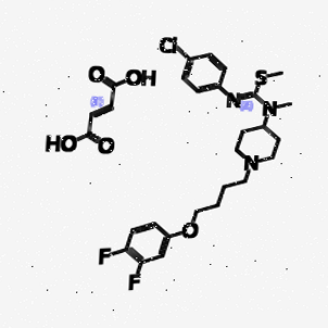 CS/C(=N\c1ccc(Cl)cc1)N(C)C1CCN(CCCCOc2ccc(F)c(F)c2)CC1.O=C(O)/C=C/C(=O)O